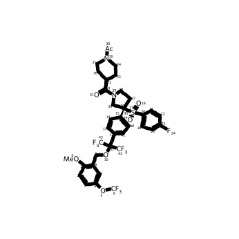 COc1ccc(OC(F)(F)F)cc1COC(c1ccc([C@]2(S(=O)(=O)c3ccc(F)cc3)CCN(C(=O)C3CCN(C(C)=O)CC3)C2)cc1)(C(F)(F)F)C(F)(F)F